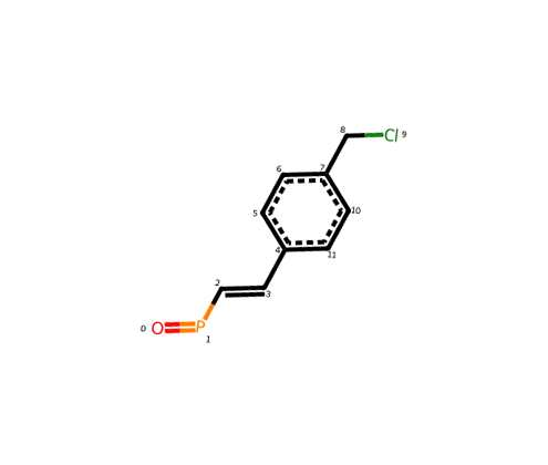 O=PC=Cc1ccc(CCl)cc1